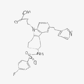 O=C(O)CCn1c2c(c3cc(Cc4cccnc4)ccc31)CC(NS(=O)(=O)c1ccc(F)cc1)CC2